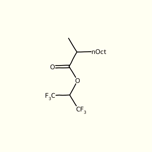 CCCCCCCCC(C)C(=O)OC(C(F)(F)F)C(F)(F)F